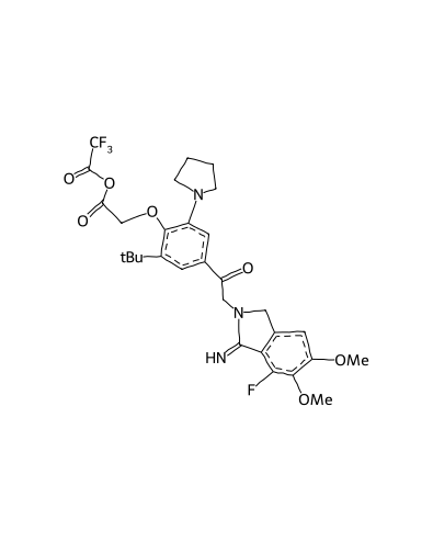 COc1cc2c(c(F)c1OC)C(=N)N(CC(=O)c1cc(N3CCCC3)c(OCC(=O)OC(=O)C(F)(F)F)c(C(C)(C)C)c1)C2